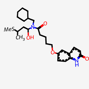 CSC(C)CC(O)N(CC1CCCCC1)C(=O)CCCCOc1ccc2[nH]c(=O)ccc2c1